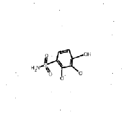 NS(=O)(=O)c1ccc(O)c(Cl)c1Cl